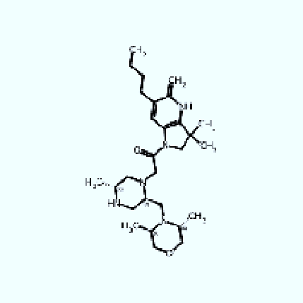 C=C1NC2=C(C=C1CCCC)N(C(=O)CN1C[C@@H](C)NC[C@@H]1CN1[C@H](C)COC[C@H]1C)CC2(C)C